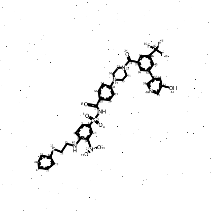 O=C(NS(=O)(=O)c1ccc(NCCSc2ccccc2)c([N+](=O)[O-])c1)c1ccc(N2CCN(C(=O)c3cc(-c4cncc(O)c4)cc(C(F)(F)F)c3)CC2)cc1